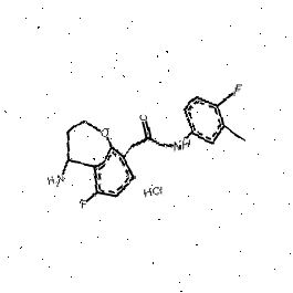 Cc1cc(NC(=O)c2ccc(F)c3c2OCCC3N)ccc1F.Cl